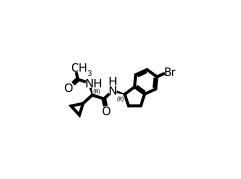 CC(=O)N[C@@H](C(=O)N[C@@H]1CCc2cc(Br)ccc21)C1CC1